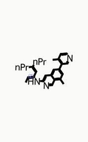 C/C=C(/C=C(CCC)CCC)Nc1cc2cc(-c3cnccc3C)cc(C)c2cn1